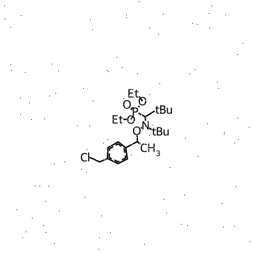 CCOP(=O)(OCC)C(N(OC(C)c1ccc(CCl)cc1)C(C)(C)C)C(C)(C)C